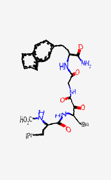 CCC(C)C(NC(=O)C(CC(C)C)NC(=O)O)C(=O)C(=O)NCC(=O)NC(Cc1ccc2ccccc2c1)C(N)=O